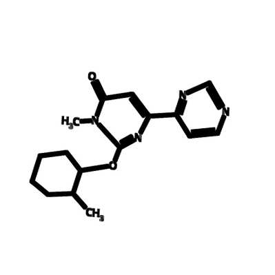 CC1CCCCC1Oc1nc(-c2ccncn2)cc(=O)n1C